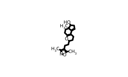 Cc1noc(C)c1CCC1CCC2=C(CCC3(C)C2=CCC3O)O1